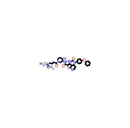 CN(C)C/C=C/C(=O)N1CCC[C@@H](NC(=O)c2sc3nccc4c3c2NC(=O)N4c2ccc(Oc3ccccc3)cc2)C1